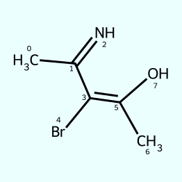 CC(=N)/C(Br)=C(/C)O